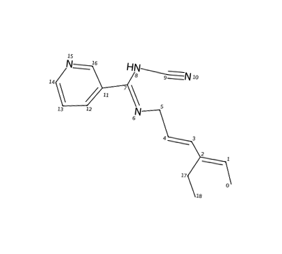 C/C=C(/C=C/C/N=C(\NC#N)c1cccnc1)CC